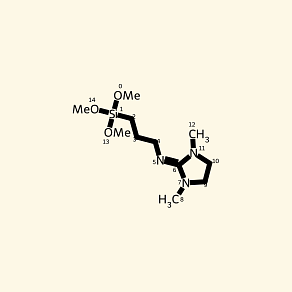 CO[Si](CCCN=C1N(C)CCN1C)(OC)OC